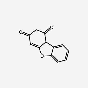 O=C1C=C2Oc3ccccc3C2C(=O)C1